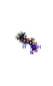 [2H]C([2H])([2H])C(c1cc(Oc2c(Cl)cc(-n3nc(C#N)c(=O)[nH]c3=O)cc2Br)n[nH]c1=O)C([2H])([2H])[2H]